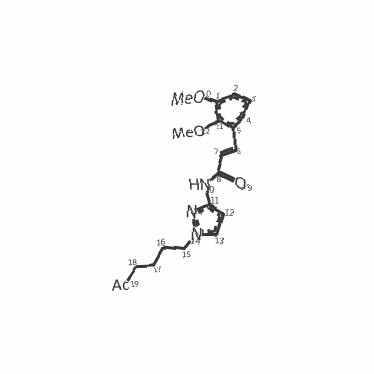 COc1cccc(C=CC(=O)Nc2ccn(CCCCC(C)=O)n2)c1OC